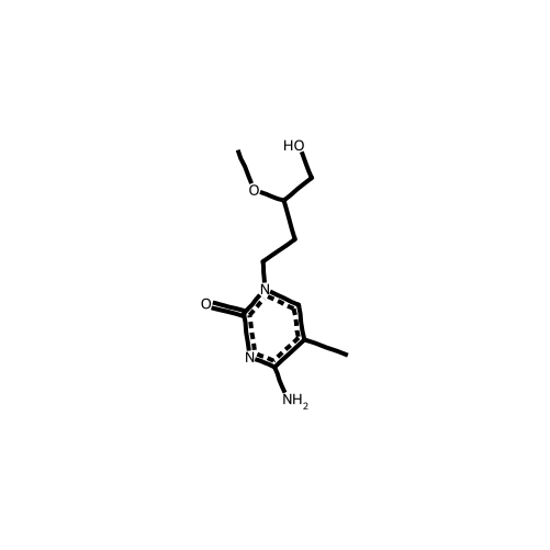 COC(CO)CCn1cc(C)c(N)nc1=O